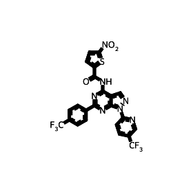 O=C(Nc1nc(-c2ccc(C(F)(F)F)cc2)nc2c1cnn2-c1ccc(C(F)(F)F)cn1)c1ccc([N+](=O)[O-])s1